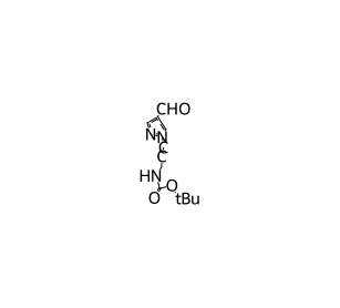 CC(C)(C)OC(=O)NCCCn1cc(C=O)cn1